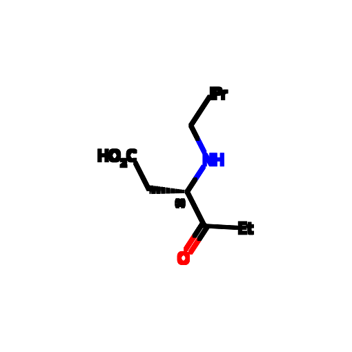 CCC(=O)[C@H](CC(=O)O)NCC(C)C